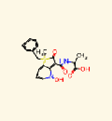 C[C@H](NC(=O)C1=C2C(=CC=CN2O)S(C)(Cc2ccccc2)C1=O)C(=O)O